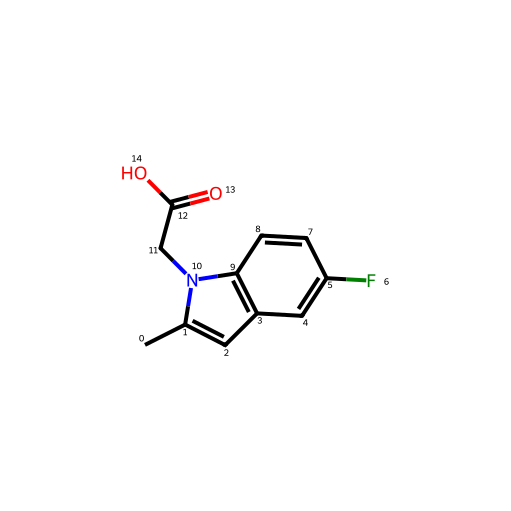 Cc1cc2cc(F)ccc2n1CC(=O)O